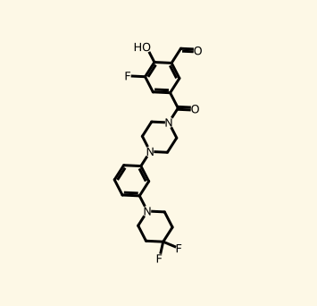 O=Cc1cc(C(=O)N2CCN(c3cccc(N4CCC(F)(F)CC4)c3)CC2)cc(F)c1O